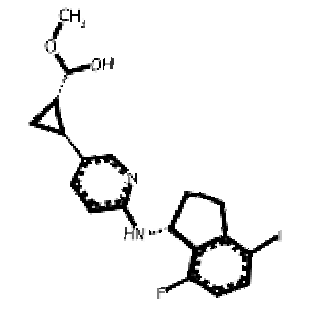 COC(O)[C@H]1C[C@@H]1c1ccc(N[C@@H]2CCc3c(I)ccc(F)c32)nc1